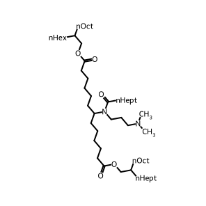 CCCCCCCCC(CCCCCC)COC(=O)CCCCCC(CCCCCC(=O)OCC(CCCCCCC)CCCCCCCC)N(CCCN(C)C)C(=O)CCCCCCC